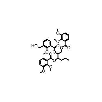 CCCC(OC(=O)c1cccc(OC)c1OC)C(COC(=O)c1cccc(OC)c1OC)OC(=O)c1cccc(CO)c1OC